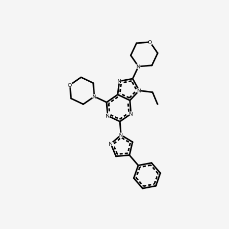 CCn1c(N2CCOCC2)nc2c(N3CCOCC3)nc(-n3cc(-c4ccccc4)cn3)nc21